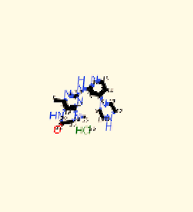 Cc1nc(Nc2cc(N3CCNCC3)ccn2)nc2c1NC(=O)CN2C.Cl